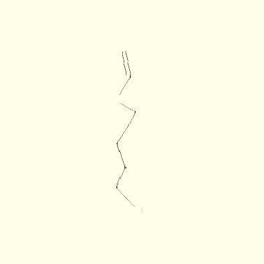 C=CSCCCCCCC